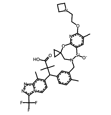 Cc1ccc(C(c2ccn3c(C(F)(F)F)nnc3c2C)C(C)(C)C(=O)O)cc1CN1CC2(CC2)Oc2nc(OCCN3CCC3)c(C)cc2[S+]1[O-]